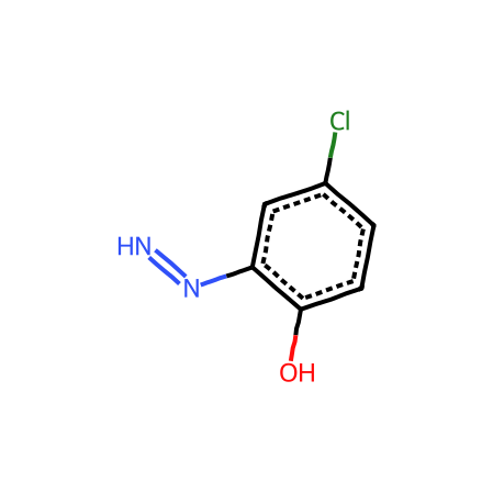 N=Nc1cc(Cl)ccc1O